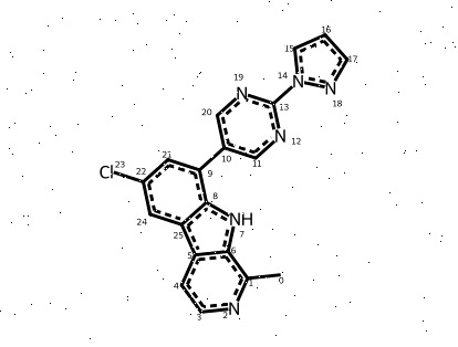 Cc1nccc2c1[nH]c1c(-c3cnc(-n4cccn4)nc3)cc(Cl)cc12